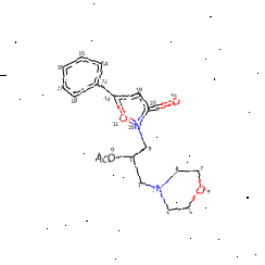 CC(=O)OC(CN1CCOCC1)Cn1oc(-c2ccccc2)cc1=O